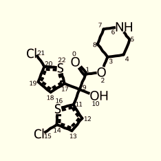 O=C(OC1CCNCC1)C(O)(c1ccc(Cl)s1)c1ccc(Cl)s1